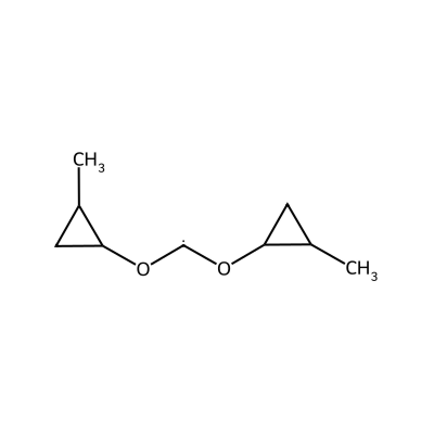 CC1CC1O[CH]OC1CC1C